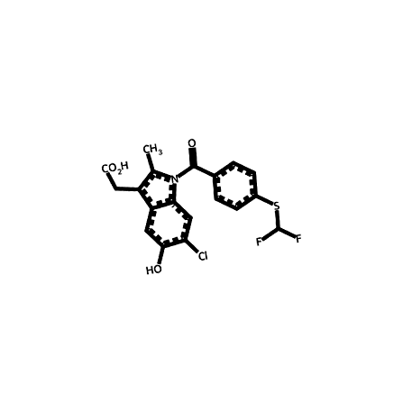 Cc1c(CC(=O)O)c2cc(O)c(Cl)cc2n1C(=O)c1ccc(SC(F)F)cc1